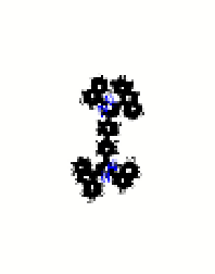 c1ccc2c(-c3nc(-c4ccc(-c5ccc(-c6cc(-c7c8ccccc8cc8ccccc78)nc(-c7cccc8ccccc78)n6)cc5)cc4)cc(-c4c5ccccc5cc5ccccc45)n3)cccc2c1